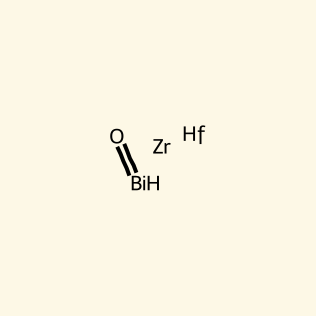 [Hf].[O]=[BiH].[Zr]